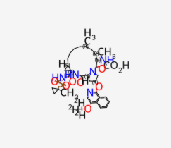 [2H]C([2H])([2H])Oc1cnc(O[C@@H]2C[C@H]3C(=O)N[C@]4(C(=O)NS(=O)(=O)C5(C)CC5)C[C@H]4CCCC[C@@H](C)C[C@@H](C)[C@H](NC(=O)O)C(=O)N3C2)c2ccccc12